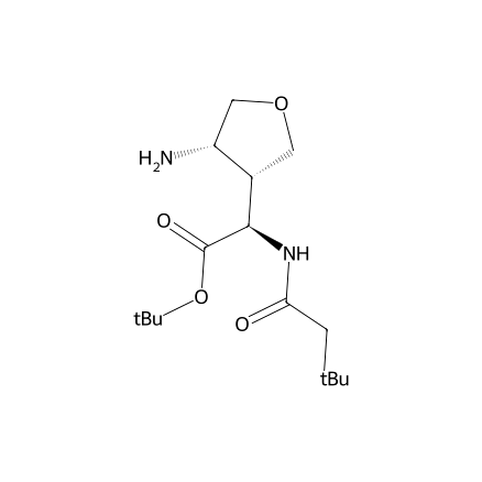 CC(C)(C)CC(=O)N[C@@H](C(=O)OC(C)(C)C)[C@H]1COC[C@H]1N